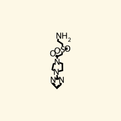 NCCS(=O)(=O)CC(=O)N1CCN(c2ncccn2)CC1